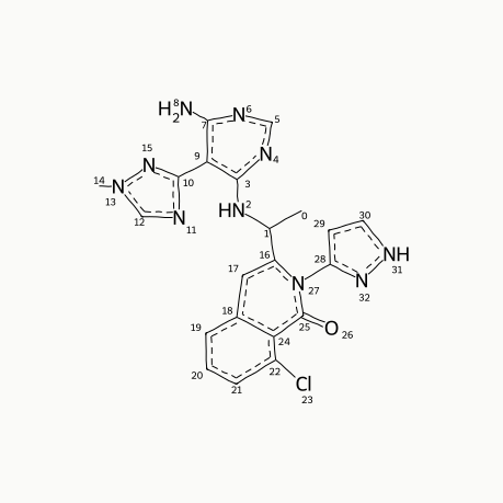 CC(Nc1ncnc(N)c1-c1ncn(C)n1)c1cc2cccc(Cl)c2c(=O)n1-c1cc[nH]n1